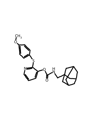 COc1ccc(Sc2ncccc2OC(=O)NCC23CC4CC(CC(C4)C2)C3)cc1